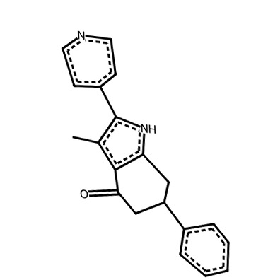 Cc1c(-c2ccncc2)[nH]c2c1C(=O)CC(c1ccccc1)C2